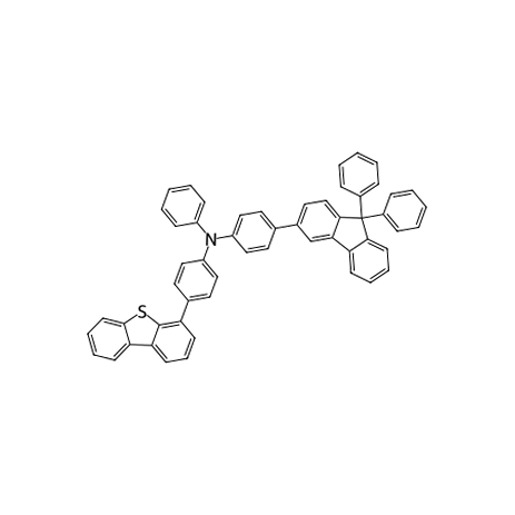 c1ccc(N(c2ccc(-c3ccc4c(c3)-c3ccccc3C4(c3ccccc3)c3ccccc3)cc2)c2ccc(-c3cccc4c3sc3ccccc34)cc2)cc1